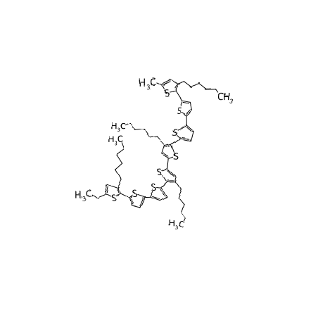 CCCCCCc1cc(C)sc1-c1ccc(-c2ccc(-c3sc(-c4cc(CCCCCC)c(-c5ccc(-c6ccc(-c7sc(CC)cc7CCCCCC)s6)s5)s4)cc3CCCCCC)s2)s1